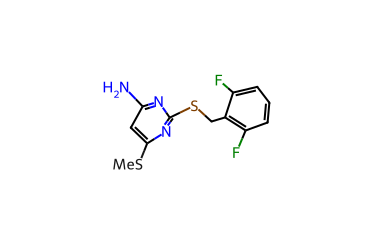 CSc1cc(N)nc(SCc2c(F)cccc2F)n1